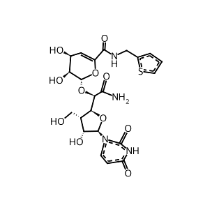 NC(=O)[C@H](O[C@H]1OC(C(=O)NCc2cccs2)=C[C@H](O)[C@@H]1O)[C@H]1O[C@@H](n2ccc(=O)[nH]c2=O)[C@H](O)[C@@H]1CO